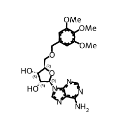 COc1cc(COC[C@H]2O[C@@H](n3cnc4c(N)ncnc43)[C@H](O)[C@@H]2O)cc(OC)c1OC